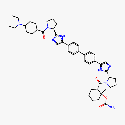 CCN(CC)C1CCC(C(=O)N2CCC[C@H]2c2ncc(-c3ccc(-c4ccc(-c5cnc([C@@H]6CCCN6C(=O)[C@H]6CCCC[C@@]6(C)OC(N)=O)[nH]5)cc4)cc3)[nH]2)CC1